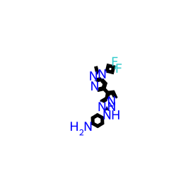 Cc1nc2ncc(-c3ccn4nc(N[C@H]5CC[C@H](N)CC5)ncc34)cc2n1C1CC(F)(F)C1